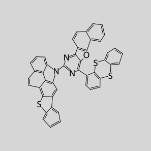 c1ccc2c(c1)Sc1cccc(-c3nc(-n4c5cccc6ccc7c8sc9ccccc9c8cc4c7c65)nc4c3oc3c5ccccc5ccc43)c1S2